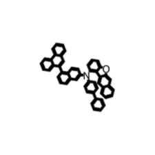 c1ccc(-c2ccc(N(c3ccc4c(-c5cc6ccccc6c6ccccc56)cccc4c3)c3cccc4oc5cc6ccccc6cc5c34)cc2)cc1